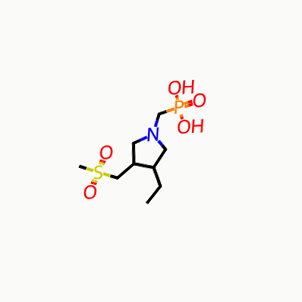 CCC1CN(CP(=O)(O)O)CC1CS(C)(=O)=O